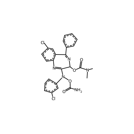 CN(C)C(=O)OC1N=C(c2ccccc2)c2cc(Cl)ccc2N=C1N(OC(N)=O)c1cccc(Cl)c1